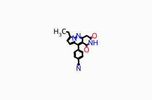 CCc1ccc2c(-c3ccc(C#N)cc3)c3c(nn12)CC(=O)NC3=O